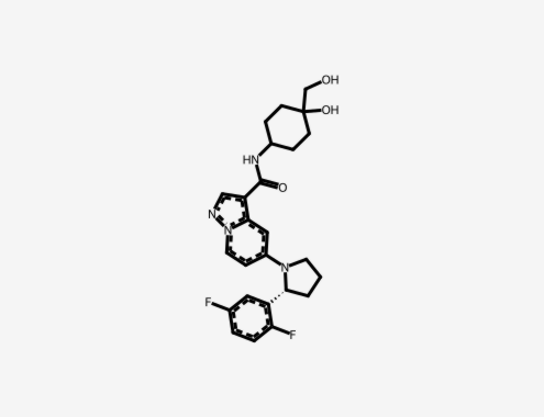 O=C(NC1CCC(O)(CO)CC1)c1cnn2ccc(N3CCC[C@@H]3c3cc(F)ccc3F)cc12